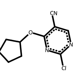 N#Cc1cnc(Cl)nc1OC1CCCC1